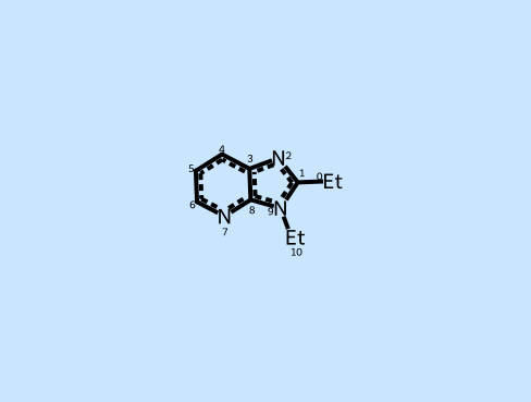 CCc1nc2cccnc2n1CC